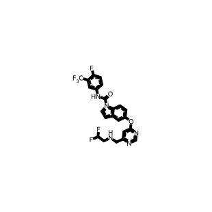 O=C(Nc1ccc(F)c(C(F)(F)F)c1)n1ccc2cc(Oc3cc(CNCC(F)F)ncn3)ccc21